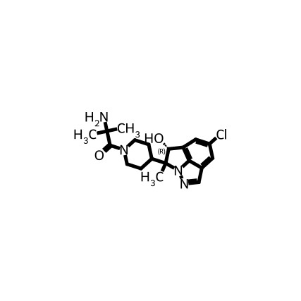 CC(C)(N)C(=O)N1CCC(C2(C)[C@H](O)c3cc(Cl)cc4cnn2c34)CC1